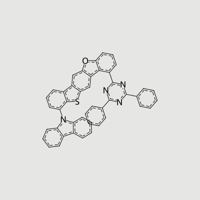 c1ccc(-c2nc(-c3ccccc3)nc(-c3cccc4oc5cc6c(cc5c34)sc3c(-n4c5ccccc5c5ccccc54)cccc36)n2)cc1